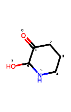 O=C1CCCNC1O